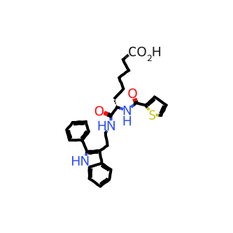 O=C(O)CCCCC[C@H](NC(=O)c1cccs1)C(=O)NCCc1c(-c2ccccc2)[nH]c2ccccc12